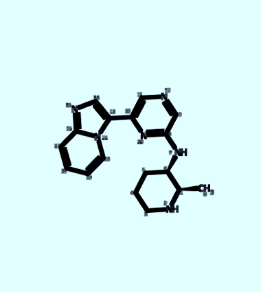 C[C@H]1NCCC[C@H]1Nc1cncc(-c2cnc3ccccn23)n1